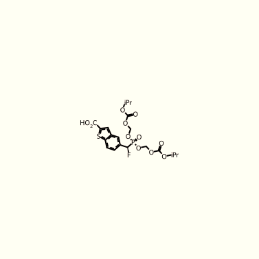 CC(C)OC(=O)OCOP(=O)(OCOC(=O)OC(C)C)[C@@H](F)c1ccc2sc(C(=O)O)cc2c1